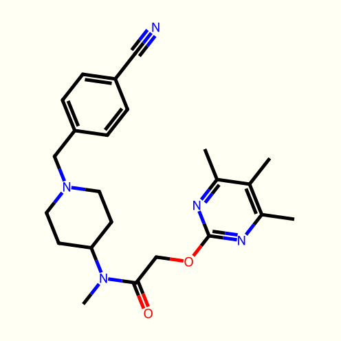 Cc1nc(OCC(=O)N(C)C2CCN(Cc3ccc(C#N)cc3)CC2)nc(C)c1C